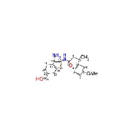 COc1cccc(C(C)CC(=O)Nc2sc3c(c2N)CCC(CO)C3)c1